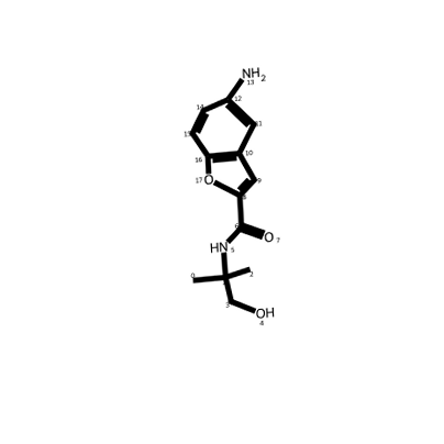 CC(C)(CO)NC(=O)c1cc2cc(N)ccc2o1